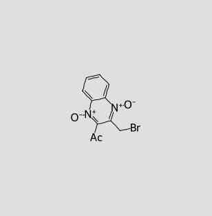 CC(=O)c1c(CBr)[n+]([O-])c2ccccc2[n+]1[O-]